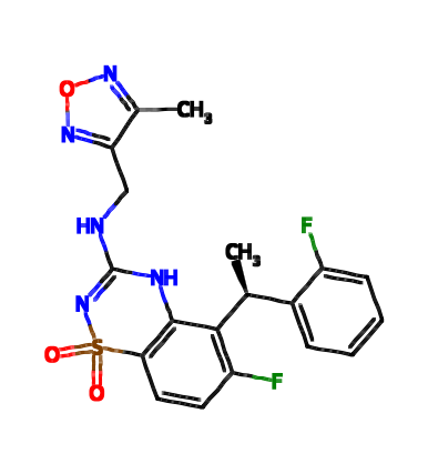 Cc1nonc1CNC1=NS(=O)(=O)c2ccc(F)c([C@@H](C)c3ccccc3F)c2N1